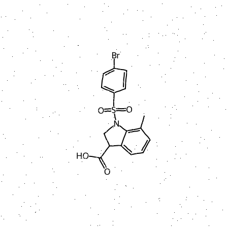 Cc1cccc2c1N(S(=O)(=O)c1ccc(Br)cc1)CC2C(=O)O